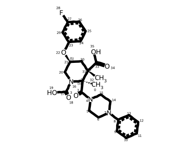 C[C@]1(C(=O)N2CCN(c3ccccc3)CC2)N(C(=O)O)C[C@@H](Oc2cccc(F)c2)C[C@]1(C)C(=O)O